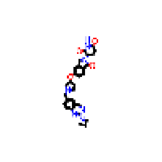 O=C1CCC(N2Cc3cc(OC4CCN(Cc5ccc6nc(N7CCC7)ncc6c5)C4)ccc3C2=O)C(=O)N1